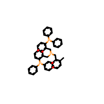 Cc1ccccc1CP(Cc1ccccc1P(c1ccccc1)c1ccccc1)Cc1ccccc1P(c1ccccc1)c1ccccc1